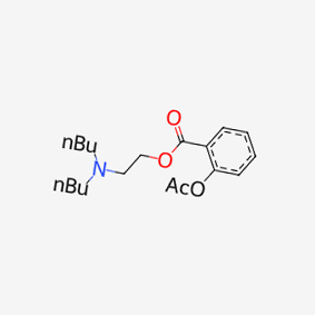 CCCCN(CCCC)CCOC(=O)c1ccccc1OC(C)=O